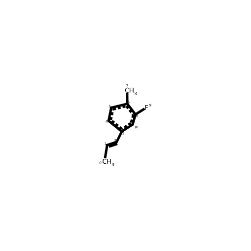 CC=Cc1ccc(C)c(F)c1